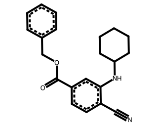 N#Cc1ccc(C(=O)OCc2ccccc2)cc1NC1CCCCC1